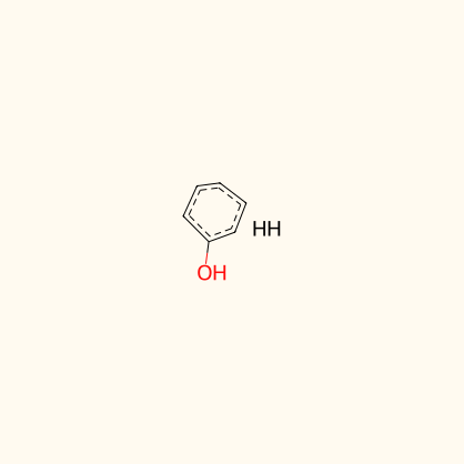 Oc1ccccc1.[HH]